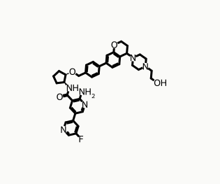 Nc1ncc(-c2cncc(F)c2)cc1C(=O)N[C@H]1CCC[C@@H]1OCc1ccc(-c2ccc3c(c2)OCCC3N2CCN(CCO)CC2)cc1